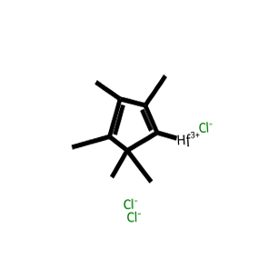 CC1=C(C)C(C)(C)[C]([Hf+3])=C1C.[Cl-].[Cl-].[Cl-]